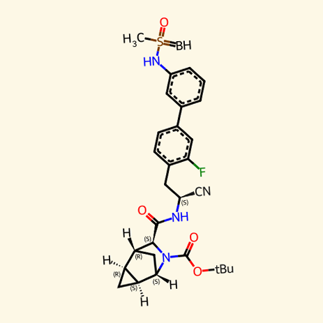 B=S(C)(=O)Nc1cccc(-c2ccc(C[C@@H](C#N)NC(=O)[C@@H]3[C@@H]4C[C@@H]([C@H]5C[C@@H]45)N3C(=O)OC(C)(C)C)c(F)c2)c1